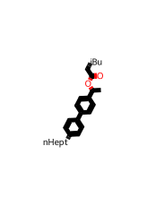 CCCCCCCc1ccc(-c2ccc(C(C)OC(=O)CC(C)CC)cc2)cc1